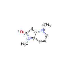 Cn1cccc2n(C)c(=O)cc1-2